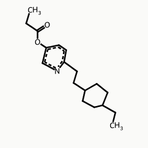 CCC(=O)Oc1ccc(CCC2CCC(CC)CC2)nc1